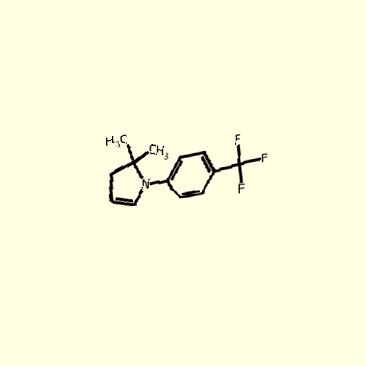 CC1(C)CC=CN1c1ccc(C(F)(F)F)cc1